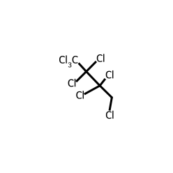 ClCC(Cl)(Cl)C(Cl)(Cl)C(Cl)(Cl)Cl